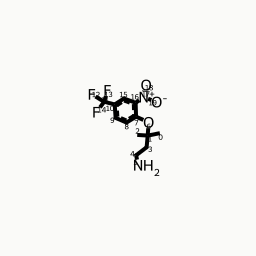 CC(C)(CCN)Oc1ccc(C(F)(F)F)cc1[N+](=O)[O-]